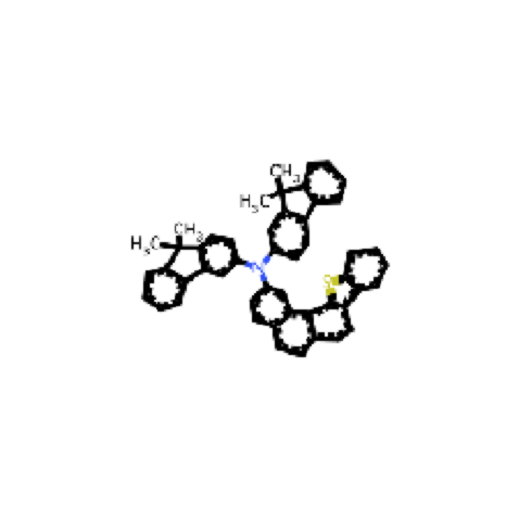 CC1(C)c2ccccc2-c2cc(N(c3ccc4c(c3)C(C)(C)c3ccccc3-4)c3ccc4ccc5ccc6c7ccccc7sc6c5c4c3)ccc21